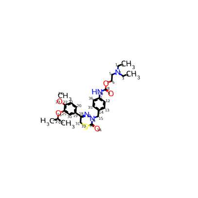 CCN(CC)CCOC(=O)Nc1ccc(CN2N=C(c3ccc(OC)c(OC(C)C)c3)CSC2=O)cc1